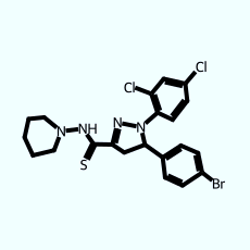 S=C(NN1CCCCC1)C1=NN(c2ccc(Cl)cc2Cl)C(c2ccc(Br)cc2)C1